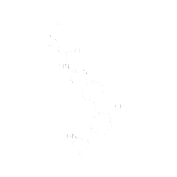 Cc1ccc(-c2ccc[nH]2)cc1-c1ccc2nc(NC(=O)[C@@H]3C[C@@H]3F)sc2c1